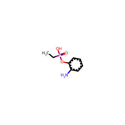 CCP(=O)(O)Oc1ccccc1N